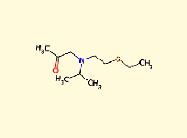 CCSCCN(CC(C)=O)C(C)C